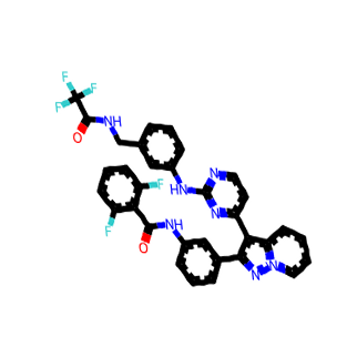 O=C(Nc1cccc(-c2nn3ccccc3c2-c2ccnc(Nc3cccc(CNC(=O)C(F)(F)F)c3)n2)c1)c1c(F)cccc1F